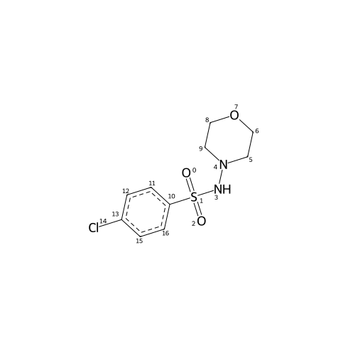 O=S(=O)(NN1CCOCC1)c1ccc(Cl)cc1